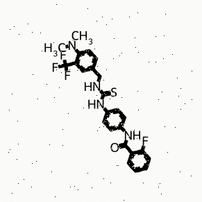 CN(C)c1ccc(CNC(=S)Nc2ccc(NC(=O)c3ccccc3F)cc2)cc1C(F)(F)F